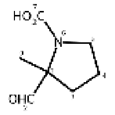 CC1(C=O)CCCN1C(=O)O